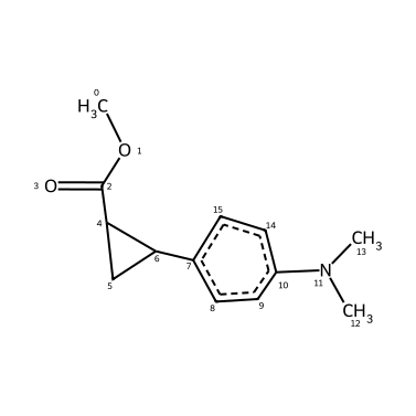 COC(=O)C1CC1c1ccc(N(C)C)cc1